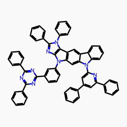 c1ccc(-c2cc(-c3ccccc3)nc(-n3c4ccccc4c4cc5c6c(nc(-c7ccccc7)n6-c6ccccc6)n(-c6cccc(-c7nc(-c8ccccc8)nc(-c8ccccc8)n7)c6)c5cc43)c2)cc1